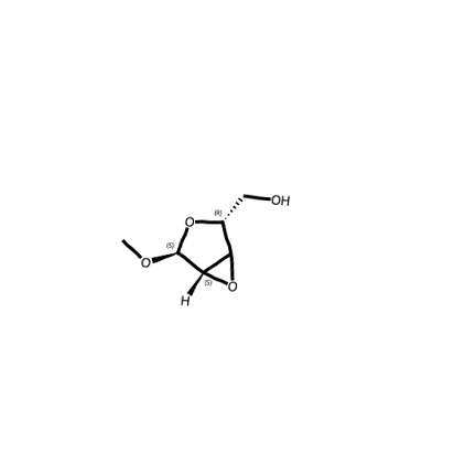 CO[C@H]1O[C@H](CO)C2O[C@@H]21